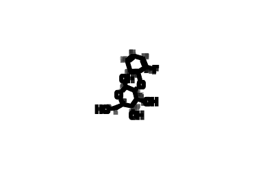 OC[C@H]1O[C@@H](O)[C@H](Oc2ccccc2F)[C@@H](O)[C@@H]1O